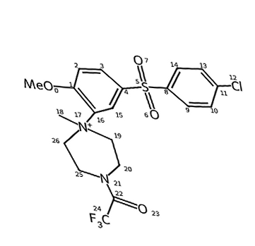 COc1ccc(S(=O)(=O)c2ccc(Cl)cc2)cc1[N+]1(C)CCN(C(=O)C(F)(F)F)CC1